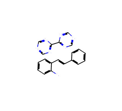 Nc1ccccc1C=Cc1ccccc1.c1ncnc(-c2ncncn2)n1